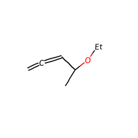 C=C=CC(C)OCC